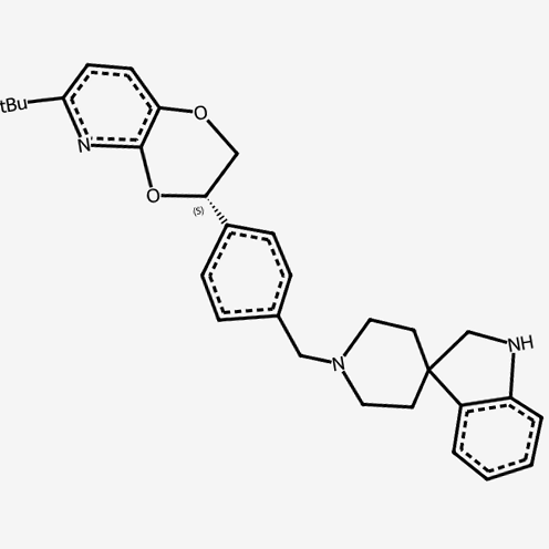 CC(C)(C)c1ccc2c(n1)O[C@@H](c1ccc(CN3CCC4(CC3)CNc3ccccc34)cc1)CO2